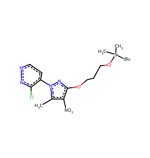 Cc1c([N+](=O)[O-])c(OCCCO[Si](C)(C)C(C)(C)C)nn1-c1ccnnc1Cl